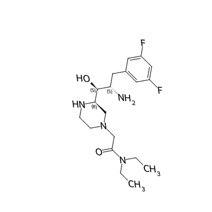 CCN(CC)C(=O)CN1CCN[C@@H]([C@@H](O)[C@@H](N)Cc2cc(F)cc(F)c2)C1